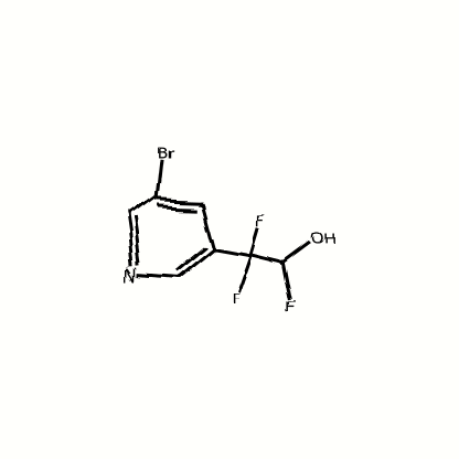 OC(F)C(F)(F)c1cncc(Br)c1